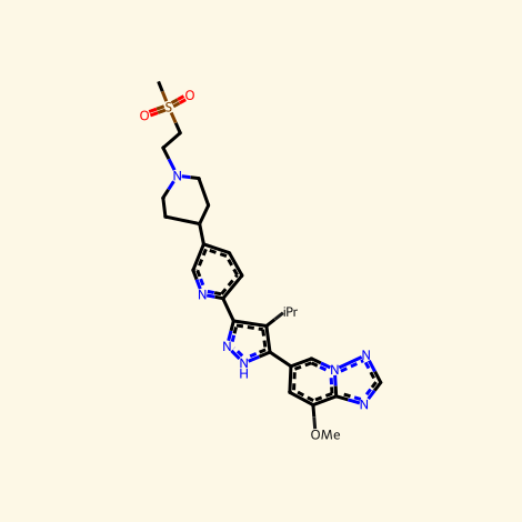 COc1cc(-c2[nH]nc(-c3ccc(C4CCN(CCS(C)(=O)=O)CC4)cn3)c2C(C)C)cn2ncnc12